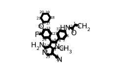 C=CC(=O)Nc1ccc(-c2c(-c3ccc(OC4CCCCC4)c(F)c3)c3c(N)ncc(C#N)c3n2C)cc1